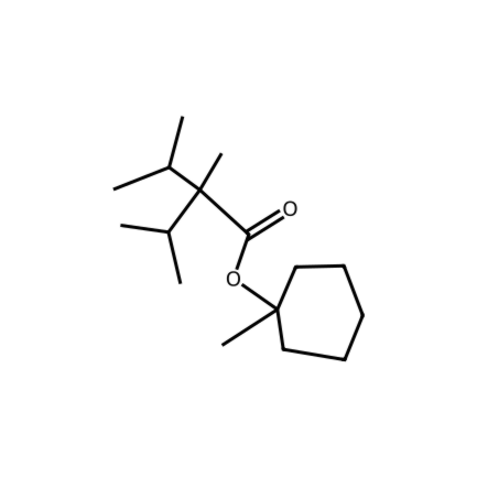 CC(C)C(C)(C(=O)OC1(C)CCCCC1)C(C)C